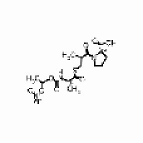 CC(OC(=O)N[C@@H](C)C(=O)SCC(C)C(=O)N1CCC[C@H]1C(=O)O)O[N+](=O)[O-]